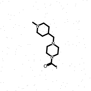 CN1CCC(CN2CCN(C(=O)I)CC2)CC1